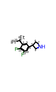 CCC(c1cc(C2CCNC2)cc(F)c1F)C(C)C